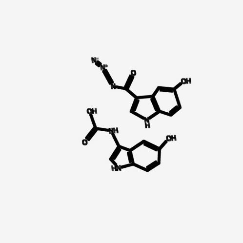 O=C(O)Nc1c[nH]c2ccc(O)cc12.[N-]=[N+]=NC(=O)c1c[nH]c2ccc(O)cc12